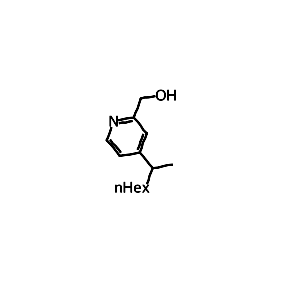 CCCCCCC(C)c1ccnc(CO)c1